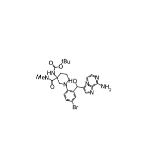 CNC(=O)C1(NC(=O)OC(C)(C)C)CCCN(c2ccc(Br)cc2C(O)c2cnc3c(N)nccn23)C1